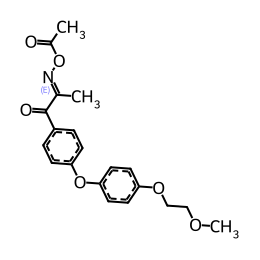 COCCOc1ccc(Oc2ccc(C(=O)/C(C)=N/OC(C)=O)cc2)cc1